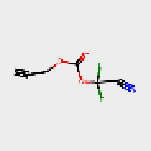 C#CCOC(=O)OC(F)(F)C#N